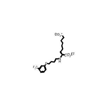 CCOC(=O)CCCCCCC(NCCCCOc1cccc(C(F)(F)F)c1)C(=O)OCC